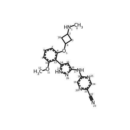 CNC1CC(Oc2cccc(OC)c2-c2cc(Nc3cnc(C#N)cn3)n[nH]2)C1